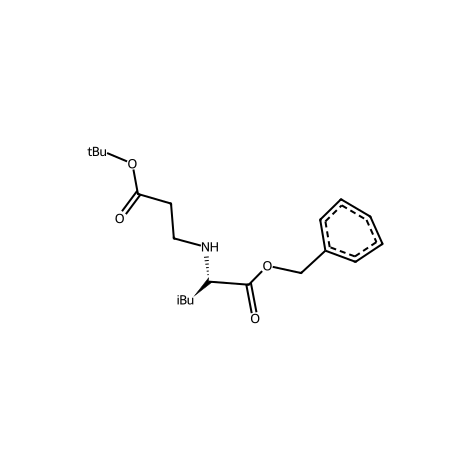 CC[C@H](C)[C@H](NCCC(=O)OC(C)(C)C)C(=O)OCc1ccccc1